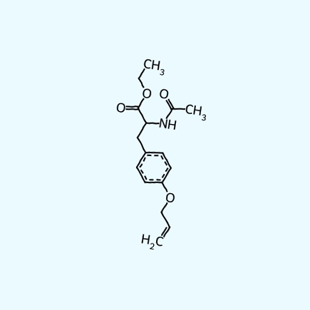 C=CCOc1ccc(CC(NC(C)=O)C(=O)OCC)cc1